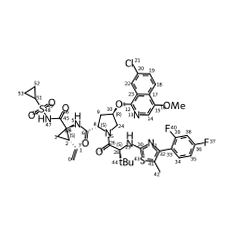 C=C[C@@H]1C[C@]1(NC(=O)[C@@H]1C[C@@H](Oc2ncc(OC)c3ccc(Cl)cc23)CN1C(=O)[C@@H](Nc1nc(-c2ccc(F)cc2F)c(C)s1)C(C)(C)C)C(=O)NS(=O)(=O)C1CC1